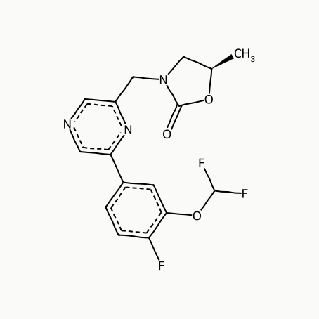 C[C@@H]1CN(Cc2cncc(-c3ccc(F)c(OC(F)F)c3)n2)C(=O)O1